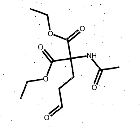 CCOC(=O)C(CCC=O)(NC(C)=O)C(=O)OCC